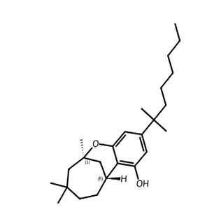 CCCCCCC(C)(C)c1cc(O)c2c(c1)O[C@@]1(C)C[C@H]2CCC(C)(C)C1